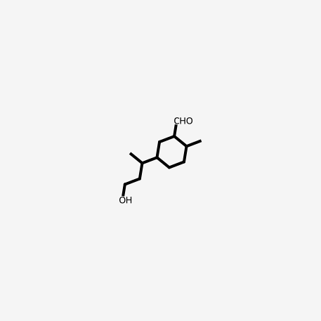 CC1CCC(C(C)CCO)CC1C=O